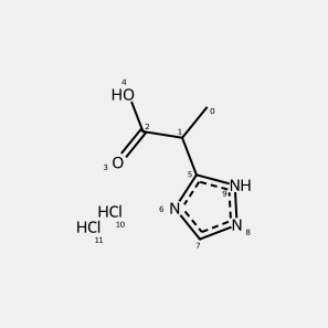 CC(C(=O)O)c1ncn[nH]1.Cl.Cl